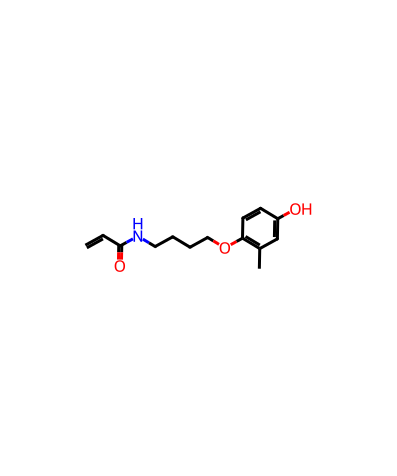 C=CC(=O)NCCCCOc1ccc(O)cc1C